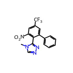 Cn1cnnc1-c1c(-c2ccccc2)cc(C(F)(F)F)cc1[N+](=O)[O-]